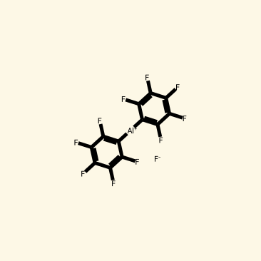 Fc1c(F)c(F)[c]([Al+][c]2c(F)c(F)c(F)c(F)c2F)c(F)c1F.[F-]